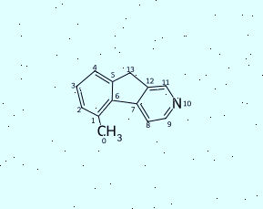 Cc1cccc2c1-c1ccncc1C2